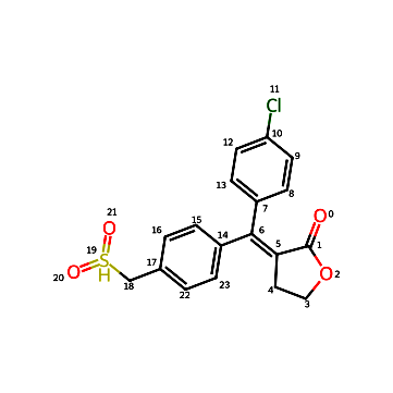 O=C1OCC/C1=C(/c1ccc(Cl)cc1)c1ccc(C[SH](=O)=O)cc1